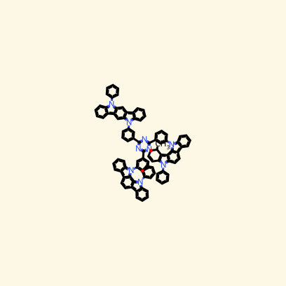 CC1CC=Cc2c1c1c(ccc3c4ccccc4n(-c4cccc(-c5nc(-c6cccc(-n7c8ccccc8c8cc9c(cc87)c7ccccc7n9-c7ccccc7)c6)nc(-c6cccc(-n7c8ccccc8c8ccc9c%10ccccc%10n(-c%10ccccc%10)c9c87)c6)n5)c4)c31)n2-c1ccccc1